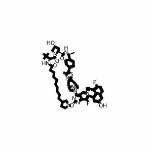 C#Cc1c(F)ccc2cc(O)cc(-c3ncc4c(N5CC6CCC(C5)N6)nc(ON5CCC(CCCCCCCCCC(=O)N[C@H](C(=O)N6C[C@H](O)C[C@H]6C(=O)N[C@@H](C)c6ccc(-c7scnc7C)cc6)C(C)(C)C)C5)nc4c3F)c12